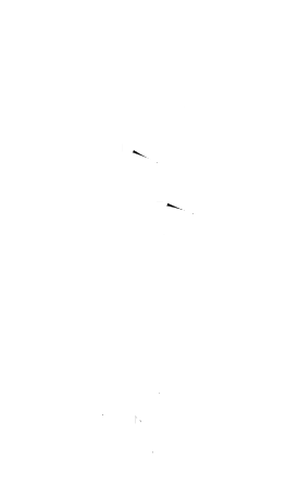 CC1(C)CCCC(C)(C)N1C(=O)CCC[C@H]1CC[C@H]2[C@@H]3CC=C4C[C@@H](O)CC[C@]4(C)[C@H]3CC[C@]12C